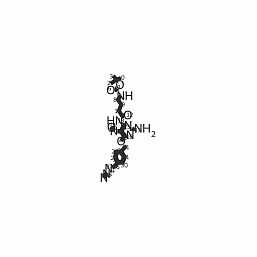 CC(C)(C)OC(=O)NCCCC(=O)Nc1nc(N)nc(OCc2ccc(CN=[N+]=[N-])cc2)c1N=O